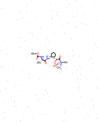 CCCCNC(=O)C(OS(C)(=O)=O)[C@H]1CCC[C@H]1CNC(=O)[C@@H](NC(=O)OC(C)(C)C)C(C)(C)C